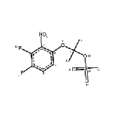 CC(C)(Oc1ccc(F)c(F)c1[N+](=O)[O-])OS(C)(=O)=O